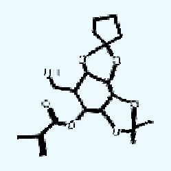 C=C(C)C(=O)OC1C(CO)C2OC3(CCCC3)OC2C2OC(C)(C)OC12